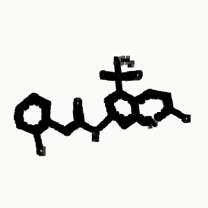 NS(=O)(=O)c1cc(NC(=O)Cc2ccccc2Cl)cc2nc(Cl)ccc12